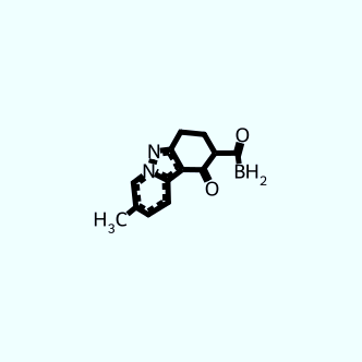 BC(=O)C1CCc2nn3cc(C)ccc3c2C1=O